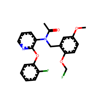 COc1ccc(OCF)c(CN(C(C)=O)c2cccnc2Oc2ccccc2F)c1